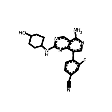 N#Cc1ccc(-c2cnc(N)c3cnc(NC4CCC(O)CC4)nc23)c(F)c1